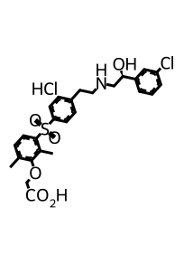 Cc1ccc(S(=O)(=O)c2ccc(CCNC[C@@H](O)c3cccc(Cl)c3)cc2)c(C)c1OCC(=O)O.Cl